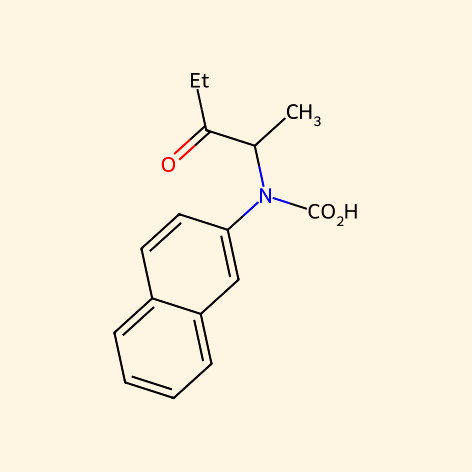 CCC(=O)C(C)N(C(=O)O)c1ccc2ccccc2c1